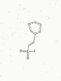 O=S(=O)(I)/C=C/c1ccccc1